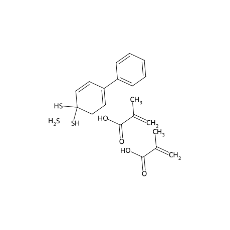 C=C(C)C(=O)O.C=C(C)C(=O)O.S.SC1(S)C=CC(c2ccccc2)=CC1